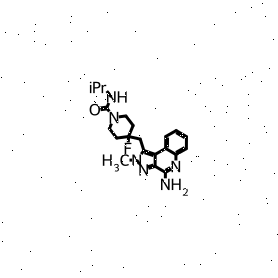 CC(C)NC(=O)N1CCC(F)(Cc2c3c(nn2C)c(N)nc2ccccc23)CC1